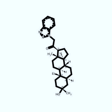 CC[C@]12CC[C@@](C)(O)C[C@@H]1CC[C@H]1[C@@H]3CC[C@H](C(=O)Cn4nnc5ccccc54)[C@@]3(C)CC[C@@H]12